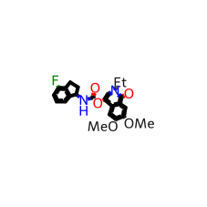 CCn1cc(OC(=O)NC2CCc3c(F)cccc32)c2cc(OC)c(OC)cc2c1=O